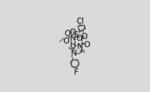 CCOC(=O)NS(=O)(=O)c1cc(Cl)ccc1OCC(=O)N1C[C@H](C)N(Cc2ccc(F)cc2)C[C@H]1C